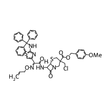 C=CCON=C(C(=O)NC1C(=O)N2CC(CCl)(C(=O)OCc3ccc(OC)cc3)CS[C@H]12)c1csc(NC(c2ccccc2)(c2ccccc2)c2ccccc2)n1